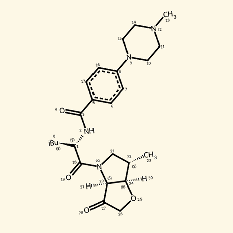 CC[C@H](C)[C@H](NC(=O)c1ccc(N2CCN(C)CC2)cc1)C(=O)N1C[C@H](C)[C@H]2OCC(=O)[C@H]21